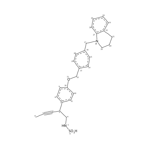 CC#CC(CNS(=O)(=O)O)c1ccc(OCc2ccc(CN3CCCc4ccccc43)cc2)cc1